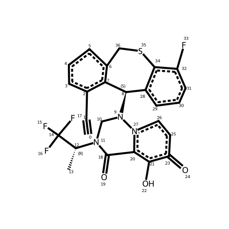 C#Cc1cccc2c1[C@H](N1CN([C@H](C)C(F)(F)F)C(=O)c3c(O)c(=O)ccn31)c1cccc(F)c1SC2